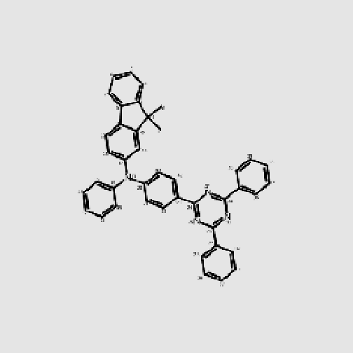 CC1(C)c2ccccc2-c2ccc(N(c3ccccc3)c3ccc(-c4nc(-c5ccccc5)nc(-c5ccccc5)n4)cc3)cc21